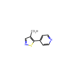 O=C(O)c1cnsc1-c1ccncc1